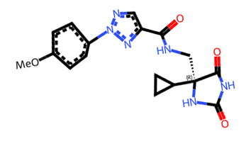 COc1ccc(-n2ncc(C(=O)NC[C@@]3(C4CC4)NC(=O)NC3=O)n2)cc1